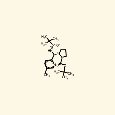 Cc1ccc(C(N[S@@+]([O-])C(C)(C)C)[C@@H]2CCCN2C(=O)OC(C)(C)C)nc1